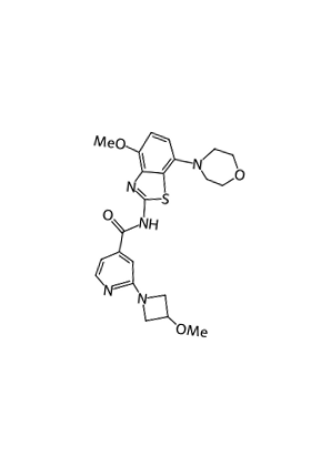 COc1ccc(N2CCOCC2)c2sc(NC(=O)c3ccnc(N4CC(OC)C4)c3)nc12